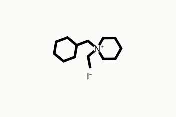 CC[N+]1(CC2CCCCC2)CCCCC1.[I-]